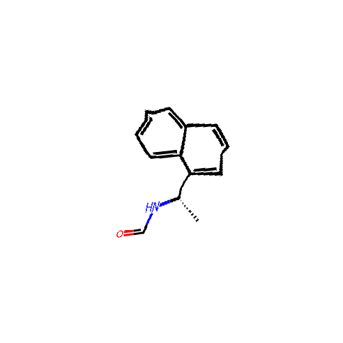 C[C@H](NC=O)c1cccc2ccccc12